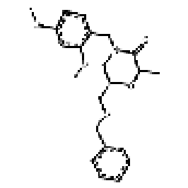 COc1ccc(CN2C[C@H](COCc3ccccc3)OC(C)C2=O)c(OC)c1